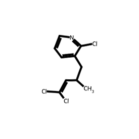 CC(C=C(Cl)Cl)Cc1cccnc1Cl